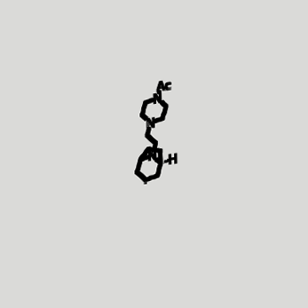 CC(=O)N1CCN(CCN2C3C[CH]C[C@@H]2CC3)CC1